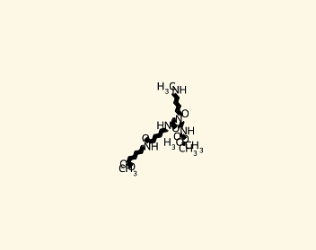 CNCCCCCC(=O)N(CCNC(=O)OC(C)(C)C)CC(=O)NCCCCCC(=O)NCCCCCC(=O)OC